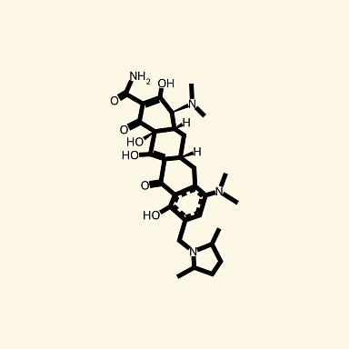 CC1CCC(C)N1Cc1cc(N(C)C)c2c(c1O)C(=O)C1=C(O)[C@]3(O)C(=O)C(C(N)=O)=C(O)[C@@H](N(C)C)[C@@H]3C[C@@H]1C2